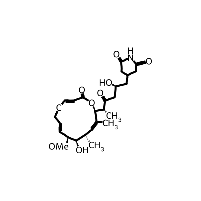 CO[C@H]1/C=C/CC/C=C/C(=O)O[C@@H]([C@@H](C)C(=O)C[C@@H](O)CC2CC(=O)NC(=O)C2)/C(C)=C\[C@H](C)[C@H]1O